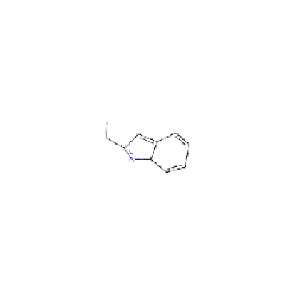 CCC1=NC2C=CC=CC2=C1